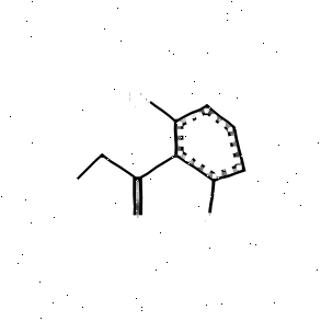 CCC(=O)c1c(N)cccc1Cl